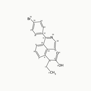 CCC(C(=O)O)c1cccc2c(-c3ccc(Br)cc3)nccc12